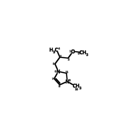 COCC(C)CN1C=CN(C)C1